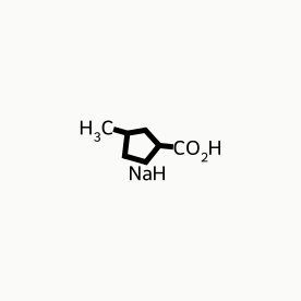 CC1CCC(C(=O)O)C1.[NaH]